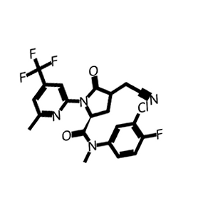 Cc1cc(C(F)(F)F)cc(N2C(=O)C(CC#N)C[C@H]2C(=O)N(C)c2ccc(F)c(Cl)c2)n1